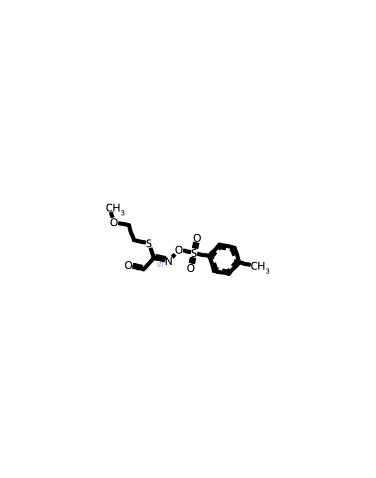 COCCS/C(C=O)=N\OS(=O)(=O)c1ccc(C)cc1